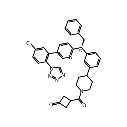 O=C1CC(C(=O)N2CCC(c3cccc([C@H](Cc4ccccc4)c4ccc(-c5cc(Cl)ccc5-n5cnnn5)cn4)c3)CC2)C1